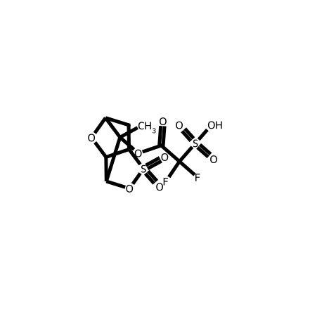 CC1(OC(=O)C(F)(F)S(=O)(=O)O)C2CC3C(O2)C1OS3(=O)=O